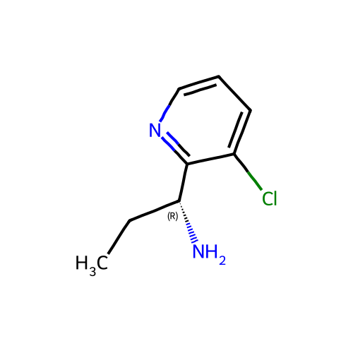 CC[C@@H](N)c1ncccc1Cl